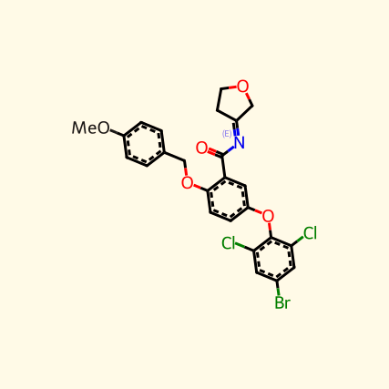 COc1ccc(COc2ccc(Oc3c(Cl)cc(Br)cc3Cl)cc2C(=O)/N=C2\CCOC2)cc1